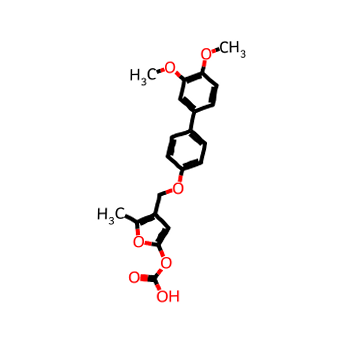 COc1ccc(-c2ccc(OCc3cc(OC(=O)O)oc3C)cc2)cc1OC